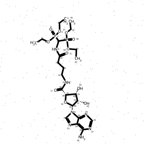 CCOP(=O)(OCC)C(NC(=O)CCCNC(=O)[C@H]1O[C@@H](n2cnc3c(N)ncnc32)[C@@H](O)[C@H]1O)P(=O)(OCC)OCC